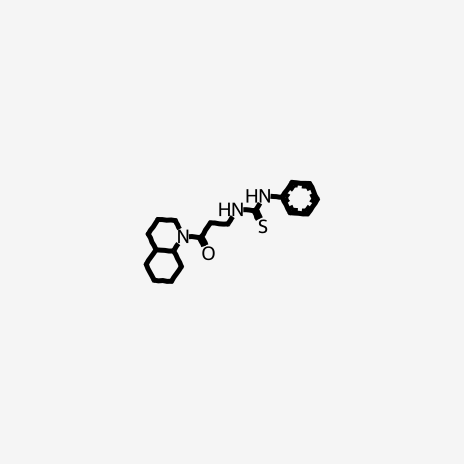 O=C(CCNC(=S)Nc1ccccc1)N1CCCC2CCCCC21